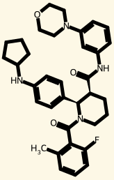 Cc1cccc(F)c1C(=O)N1CCC[C@H](C(=O)Nc2cccc(N3CCOCC3)c2)[C@@H]1c1ccc(NC2CCCC2)cc1